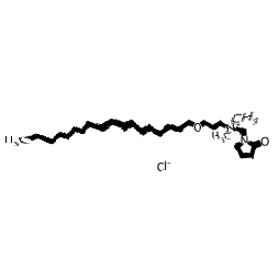 CCCCCCCCCCCCCCCCCCOCCC[N+](C)(C)CN1CCCC1=O.[Cl-]